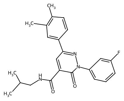 Cc1ccc(-c2cc(C(=O)NCC(C)C)c(=O)n(-c3cccc(F)c3)n2)cc1C